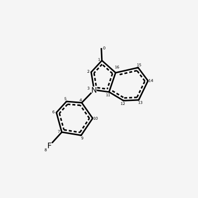 Cc1cn(-c2ccc(F)cc2)c2ccccc12